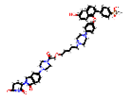 CS(=O)(=O)c1ccc(-c2ccc3cc(O)ccc3c2Oc2ccc(N3CCN(CCCCCOCC(=O)N4CCN(c5ccc6c(c5)CN(C5CCC(=O)NC5=O)C6=O)CC4)CC3)cc2)cc1